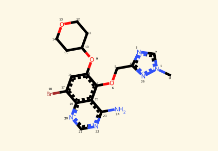 Cn1cnc(COc2c(OC3CCOCC3)cc(Br)c3ncnc(N)c23)n1